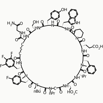 CCCC[C@H]1C(=O)N(CCC)CC(=O)N[C@@H](CC(=O)O)C(=O)N[C@@H](C(C)C)C(=O)N(C)[C@@H](Cc2ccccc2)C(=O)N[C@@H](CCC(=O)O)C(=O)N2CCCC[C@@H]2C(=O)N[C@@H](Cc2c[nH]c3ccccc23)C(=O)N[C@@H](Cc2ccc(O)cc2)C(=O)N[C@@H](CO)C(=O)N[C@H](C(=O)NCC(N)=O)CSCC(=O)N[C@@H](Cc2cc(F)c(F)c(F)c2)C(=O)N(C)[C@@H](Cc2ccc(F)cc2)C(=O)N1C